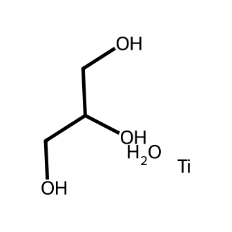 O.OCC(O)CO.[Ti]